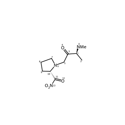 CN[C@@H](C)C(=O)CN1CCC[C@H]1C(=O)[N+](=O)[O-]